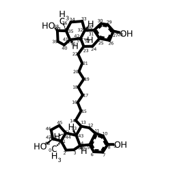 C[C@@]12CC[C@@H]3c4ccc(O)cc4CC(CCCCCCCCCC4Cc5cc(O)ccc5[C@H]5CC[C@]6(C)[C@@H](O)CC[C@H]6[C@H]45)[C@H]3[C@@H]1CC[C@@H]2O